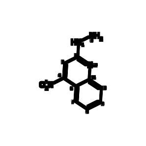 NNc1cc([N+](=O)[O-])c2ccccc2n1